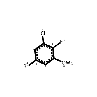 COc1cc(Br)cc(Cl)c1F